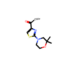 COC(=O)c1csc(N2CCOC(C)(C)C2)n1